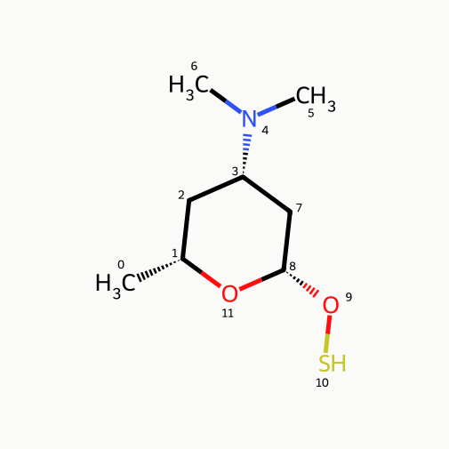 C[C@@H]1C[C@H](N(C)C)C[C@H](OS)O1